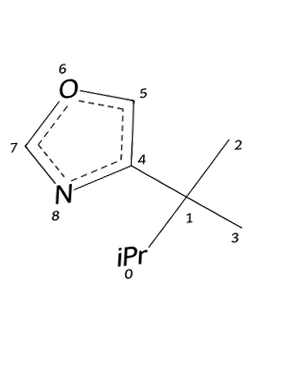 CC(C)C(C)(C)c1cocn1